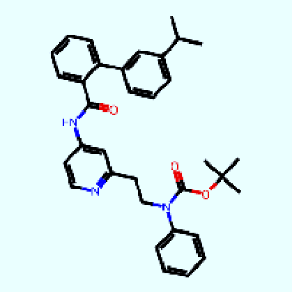 CC(C)c1cccc(-c2ccccc2C(=O)Nc2ccnc(CCN(C(=O)OC(C)(C)C)c3ccccc3)c2)c1